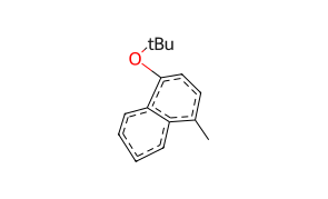 Cc1ccc(OC(C)(C)C)c2ccccc12